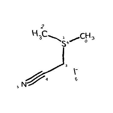 C[S+](C)CC#N.[I-]